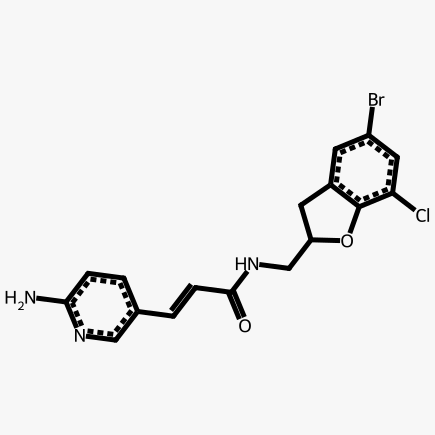 Nc1ccc(C=CC(=O)NCC2Cc3cc(Br)cc(Cl)c3O2)cn1